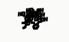 C=CCOC(CC=C)(CC=C)[C@@]1(O[C@H]2O[C@H](CO)[C@@H](O)[C@H](O)[C@H]2O)O[C@H](CO)[C@@H](O)[C@@H]1O.OCCc1ccccc1